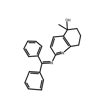 CC1(O)CCCc2nc(N=C(c3ccccc3)c3ccccc3)ccc21